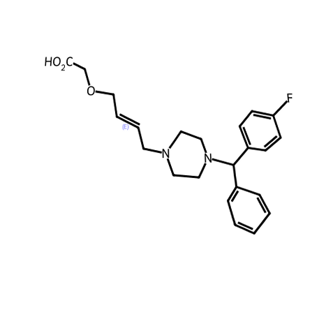 O=C(O)COC/C=C/CN1CCN(C(c2ccccc2)c2ccc(F)cc2)CC1